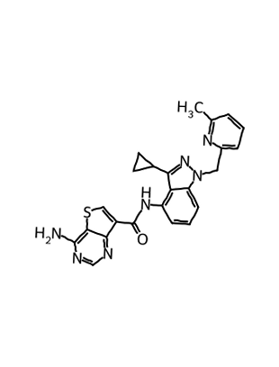 Cc1cccc(Cn2nc(C3CC3)c3c(NC(=O)c4csc5c(N)ncnc45)cccc32)n1